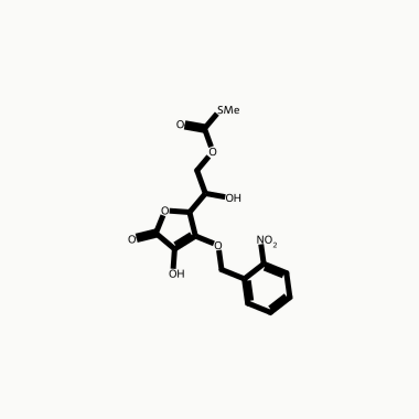 CSC(=O)OCC(O)C1OC(=O)C(O)=C1OCc1ccccc1[N+](=O)[O-]